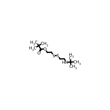 CC(C)(C)NCCSSCCOC(=O)C(C)(C)C